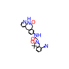 CC(C)(C)C(=O)N(CC(=O)Nc1ccc2c(c1)CC(=O)Nc1ncccc1C2)Cc1ccccc1C#N